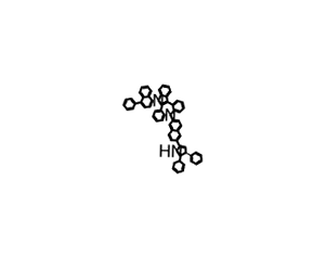 C1=CCC(C2NC(c3ccc4cc(N5c6ccccc6-c6c(n(-c7ccc(-c8ccccc8)c8ccccc78)c7ccccc67)-c6ccccc65)ccc4c3)=C[C@H]2c2ccccc2)C=C1